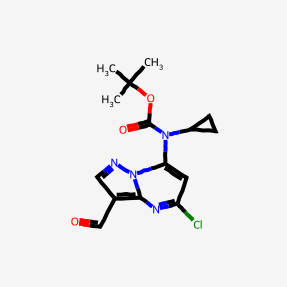 CC(C)(C)OC(=O)N(c1cc(Cl)nc2c(C=O)cnn12)C1CC1